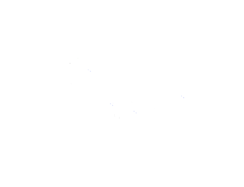 C[C@@H](NS(=O)(=O)c1cn(C)c(C(=O)Nc2ccc(F)c(C#N)c2)c1F)C(F)(F)F